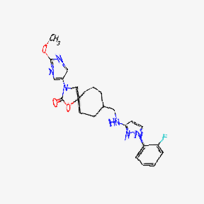 COc1ncc(N2CC3(CCC(CNc4ccn(-c5ccccc5F)n4)CC3)OC2=O)cn1